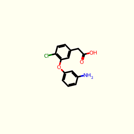 Nc1cccc(Oc2cc(CC(=O)O)ccc2Cl)c1